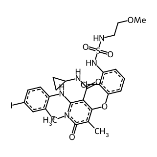 COCCNS(=O)(=O)Nc1cccc(Oc2c(C(=O)NC3CC3)c(Nc3ccc(I)cc3F)n(C)c(=O)c2C)c1Cl